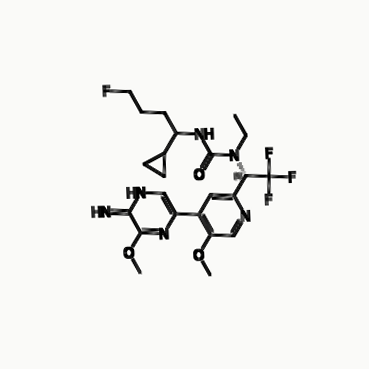 CCN(C(=O)NC(CCCF)C1CC1)[C@@H](c1cc(-c2c[nH]c(=N)c(OC)n2)c(OC)cn1)C(F)(F)F